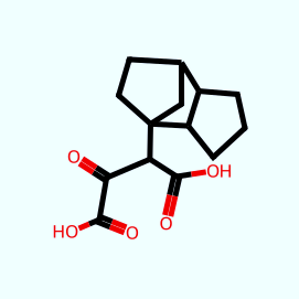 O=C(O)C(=O)C(C(=O)O)C12CCC(C1)C1CCCC12